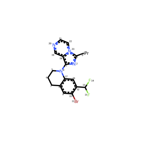 CC(C)c1nc(N2CCCc3cc(Br)c(C(F)F)cc32)c2cnccn12